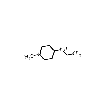 CN1CCC(NCC(F)(F)F)CC1